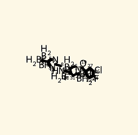 BC(B)(B)c1cnc(CNC(B)(B)C2(F)CCN(C(=O)c3ccc(F)c(Cl)c3)C(B)(B)C2)nc1